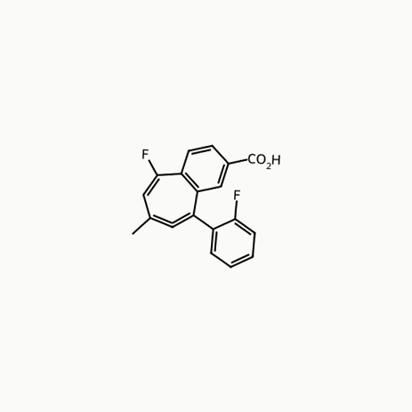 CC1=C=C(c2ccccc2F)c2cc(C(=O)O)ccc2C(F)=C1